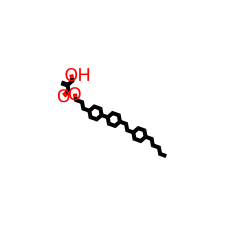 C=C(CO)C(=O)OCCCC1CCC(C2CCC(CCC3CCC(CCCCC)CC3)CC2)CC1